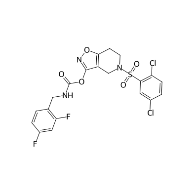 O=C(NCc1ccc(F)cc1F)Oc1noc2c1CN(S(=O)(=O)c1cc(Cl)ccc1Cl)CC2